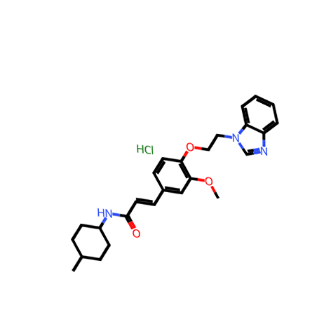 COc1cc(C=CC(=O)NC2CCC(C)CC2)ccc1OCCn1cnc2ccccc21.Cl